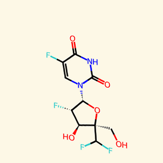 O=c1[nH]c(=O)n([C@@H]2O[C@@](CO)(C(F)F)[C@@H](O)[C@@H]2F)cc1F